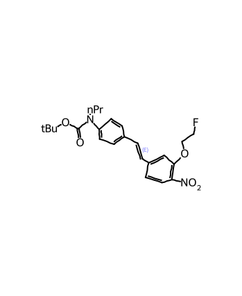 CCCN(C(=O)OC(C)(C)C)c1ccc(/C=C/c2ccc([N+](=O)[O-])c(OCCF)c2)cc1